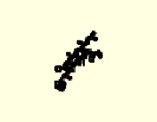 C=CC(=O)Nc1cc(Nc2ncc(Cl)c(N(C)C[C@@H]3CCCO3)n2)c(OC)cc1N(C)CCN(C)C